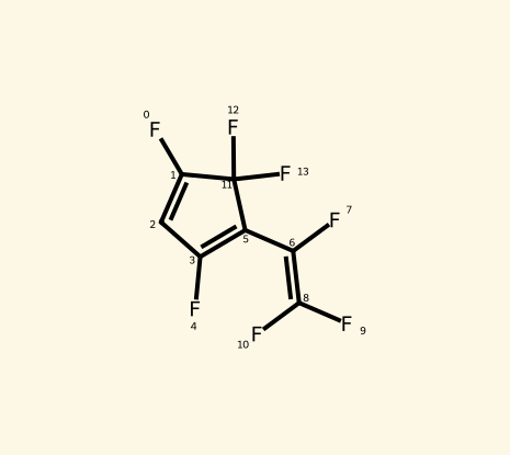 FC1=CC(F)=C(C(F)=C(F)F)C1(F)F